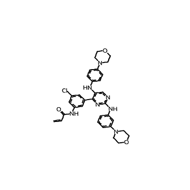 C=CC(=O)Nc1cc(Cl)cc(-c2nc(Nc3cccc(N4CCOCC4)c3)ncc2Nc2ccc(N3CCOCC3)cc2)c1